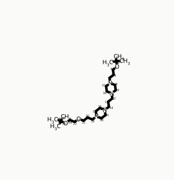 CC(C)(C)OCCCN1CCN(CCCN2CCN(CCCOCCOC(C)(C)C)CC2)CC1